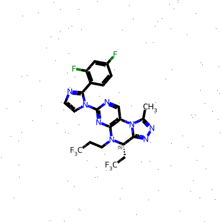 Cc1nnc2n1-c1cnc(-n3ccnc3-c3ccc(F)cc3F)nc1N(CCC(F)(F)F)[C@H]2CC(F)(F)F